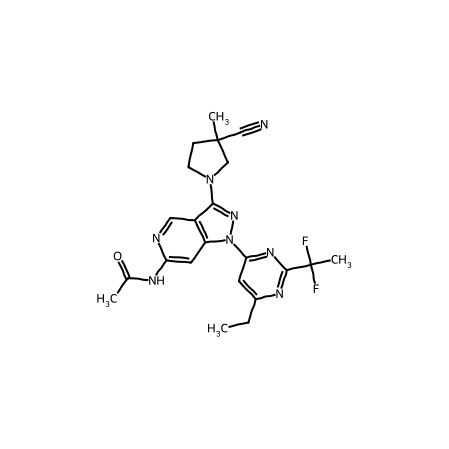 CCc1cc(-n2nc(N3CCC(C)(C#N)C3)c3cnc(NC(C)=O)cc32)nc(C(C)(F)F)n1